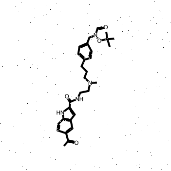 CC(=O)c1ccc2[nH]c(C(=O)NCCN(C)CCCc3ccc(CN(C=O)OC(C)(C)C)cc3)cc2c1